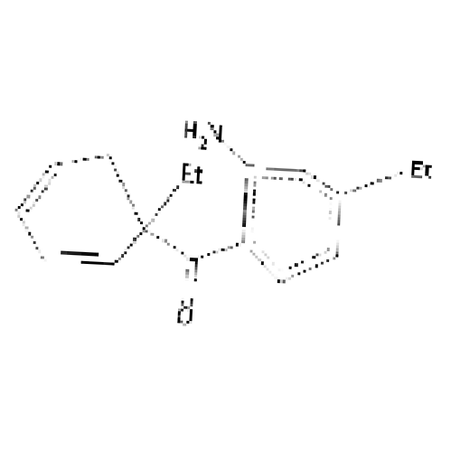 CCc1ccc(C(=O)C2(CC)C=CC=CC2)c(N)c1